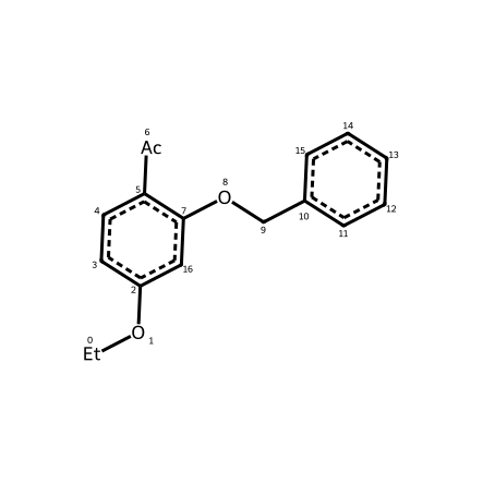 CCOc1ccc(C(C)=O)c(OCc2ccccc2)c1